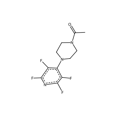 CC(=O)N1CCN(c2c(F)c(F)nc(F)c2F)CC1